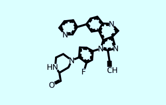 C#Cc1nc2cnc3ccc(-c4cccnc4)cc3c2n1-c1ccc(N2CCNC(C=O)C2)c(F)c1